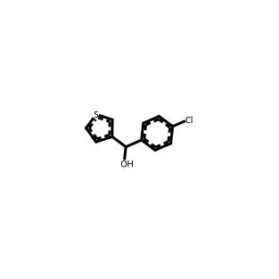 OC(c1ccc(Cl)cc1)c1ccsc1